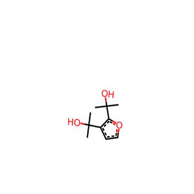 CC(C)(O)c1ccoc1C(C)(C)O